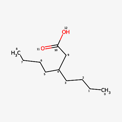 CCCCC(CCCC)CC(=O)O